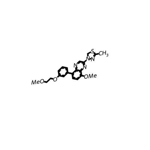 COCCOc1cccc(-c2ccc(OC)c3nc(N4CSC(C)=N4)cnc23)c1